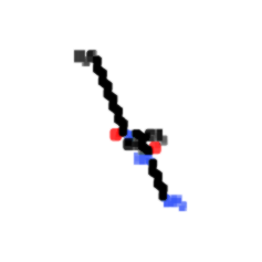 CCCCCCCCCCCCC(=O)N(C)CC(C)CC(=O)NCCCCCCN